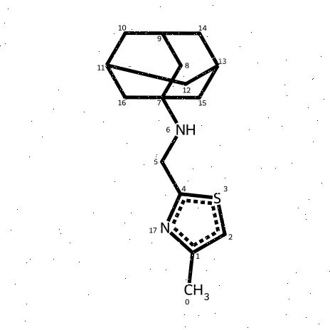 Cc1csc(CNC23CC4CC(CC(C4)C2)C3)n1